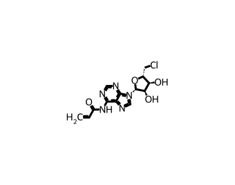 C=CC(=O)Nc1ncnc2c1ncn2[C@@H]1O[C@H](CCl)[C@@H](O)[C@H]1O